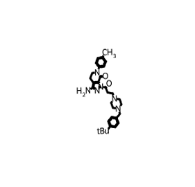 Cc1ccc(N2CCc3c(N)nn(C(=O)CCN4CCN(Cc5ccc(C(C)(C)C)cc5)CC4)c3C2=O)cc1